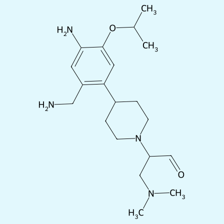 CC(C)Oc1cc(C2CCN(C(C=O)CN(C)C)CC2)c(CN)cc1N